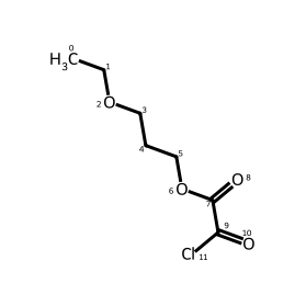 CCOCCCOC(=O)C(=O)Cl